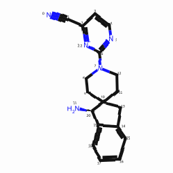 N#Cc1ccnc(N2CCC3(CC2)Cc2ccccc2[C@H]3N)n1